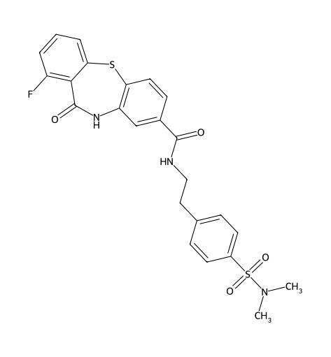 CN(C)S(=O)(=O)c1ccc(CCNC(=O)c2ccc3c(c2)NC(=O)c2c(F)cccc2S3)cc1